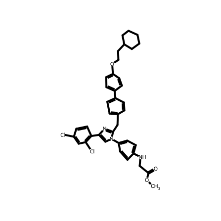 COC(=O)CNc1ccc(-n2cc(-c3ccc(Cl)cc3Cl)nc2Cc2ccc(-c3ccc(OCCC4CCCCC4)cc3)cc2)cc1